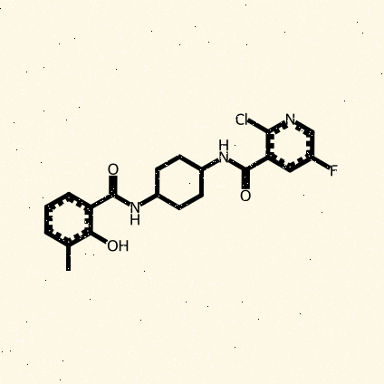 Cc1cccc(C(=O)NC2CCC(NC(=O)c3cc(F)cnc3Cl)CC2)c1O